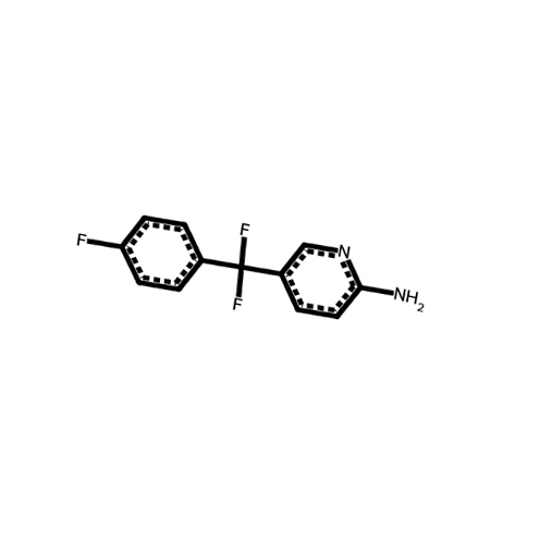 Nc1ccc(C(F)(F)c2ccc(F)cc2)cn1